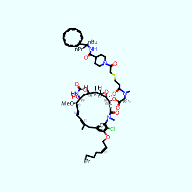 CCCCC(CCC)(NC(=O)C1CCN(C(=O)CSCCC(=O)N(C)[C@H](C)C(=O)O[C@H]2CC(=O)N(C)c3cc(cc(OC/C=C\CCCC(C)C)c3Cl)C/C(C)=C/C=C/[C@@H](OC)[C@@]3(O)C[C@H](OC(=O)N3)[C@@H](C)[C@@H]3O[C@@]23C)CC1)c1ccccccccc1